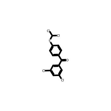 O=C(c1ccc(SC(Cl)Cl)cc1)c1cc(Cl)cc(Cl)c1